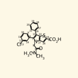 CN(C)C(=O)Cn1c(-c2cccc(Cl)c2)c(-c2ccccc2)c2sc(C(=O)O)cc21